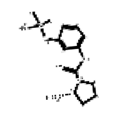 CCOC(=O)[C@H]1CCCN1C(=O)Sc1cccc(O[Si](C)(C)C(C)(C)C)c1